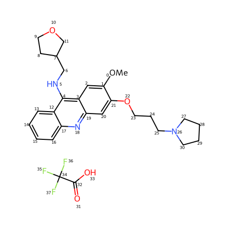 COc1cc2c(NCC3CCOC3)c3ccccc3nc2cc1OCCCN1CCCC1.O=C(O)C(F)(F)F